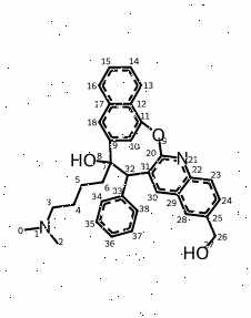 CN(C)CCCCC1(O)c2cc(c3ccccc3c2)Oc2nc3ccc(CO)cc3cc2C1c1ccccc1